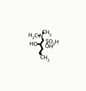 C=CCC(O)CN(C)C.O=S(=O)(O)O